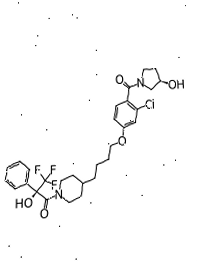 O=C(c1ccc(OCCCCC2CCN(C(=O)[C@](O)(c3ccccc3)C(F)(F)F)CC2)cc1Cl)N1CC[C@@H](O)C1